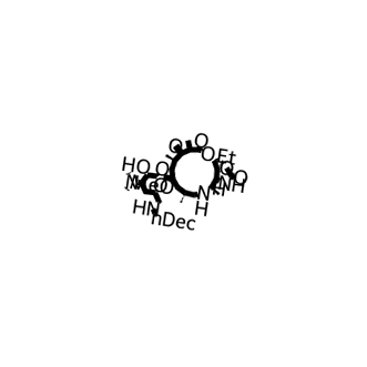 CCCCCCCCCCNCC1CC(N(C)C)C(O)[C@H](O[C@@H]2[C@@H](C)C(=O)C(C)C(=O)O[C@H](CC)[C@@]3(C)OC(=O)N[C@@H]3[C@@H](C)NC[C@H](C)C[C@@]2(C)OC)O1